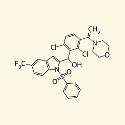 C=C(c1ccc(Cl)c(C(O)c2cc3cc(C(F)(F)F)ccc3n2S(=O)(=O)c2ccccc2)c1Cl)N1CCOCC1